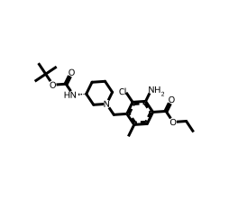 CCOC(=O)c1cc(C)c(CN2CCC[C@@H](NC(=O)OC(C)(C)C)C2)c(Cl)c1N